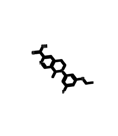 CCOc1cc(F)cc(N2CCc3cc(C(=O)O)ncc3C2C)c1